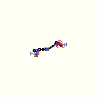 O=C1CC[C@@H](N2C(=O)c3cccc(NCCCCCCCCN4CCN(c5ccc(-c6ccc7c(c6)C(=O)N(C(C(=O)Nc6nccs6)c6ccccc6)C7)cc5)CC4)c3C2=O)C(=O)N1